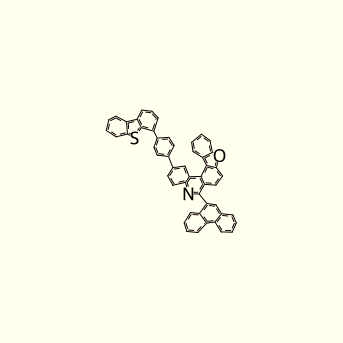 c1ccc2c(c1)cc(-c1nc3ccc(-c4ccc(-c5cccc6c5sc5ccccc56)cc4)cc3c3c1ccc1oc4ccccc4c13)c1ccccc12